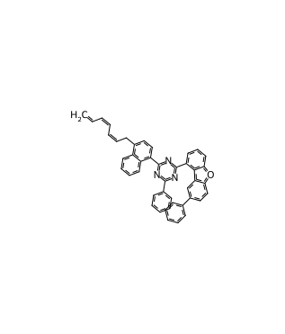 C=C/C=C\C=C/Cc1ccc(-c2nc(-c3ccccc3)nc(-c3cccc4oc5ccc(-c6ccccc6)cc5c34)n2)c2ccccc12